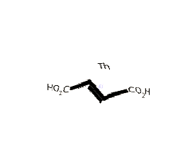 O=C(O)/C=C/C(=O)O.[Th]